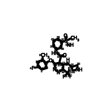 Cc1cc(F)ccc1Oc1nnc(C(F)(F)F)c(NC2CNC2)c1C(=O)Nc1cccc(S(C)(=N)=O)c1